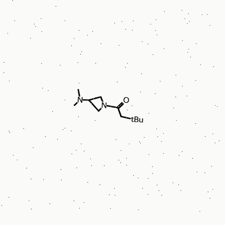 CN(C)C1CN(C(=O)CC(C)(C)C)C1